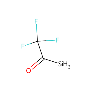 O=C([SiH3])C(F)(F)F